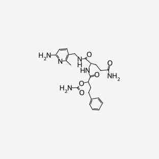 Cc1nc(N)ccc1CNC(=O)C(CCC(N)=O)NC(=O)C(CCc1ccccc1)OC(N)=O